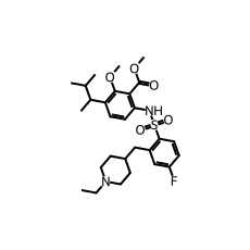 CCN1CCC(Cc2cc(F)ccc2S(=O)(=O)Nc2ccc(C(C)C(C)C)c(OC)c2C(=O)OC)CC1